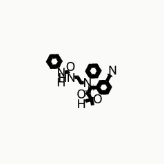 CC1(C)Oc2ccc(C#N)cc2[C@H](N(CCNC(=O)Nc2ccccc2)c2ccccc2)[C@H]1O